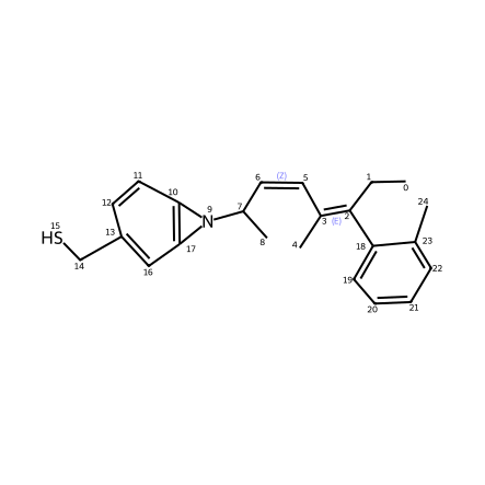 CC/C(=C(C)\C=C/C(C)N1c2ccc(CS)cc21)c1ccccc1C